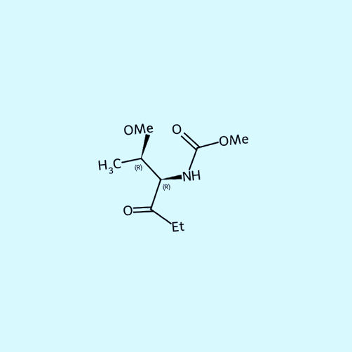 CCC(=O)[C@H](NC(=O)OC)[C@@H](C)OC